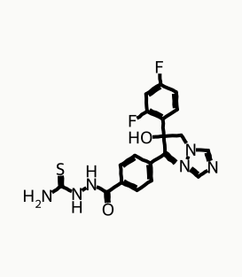 C=C(c1ccc(C(=O)NNC(N)=S)cc1)C(O)(Cn1cncn1)c1ccc(F)cc1F